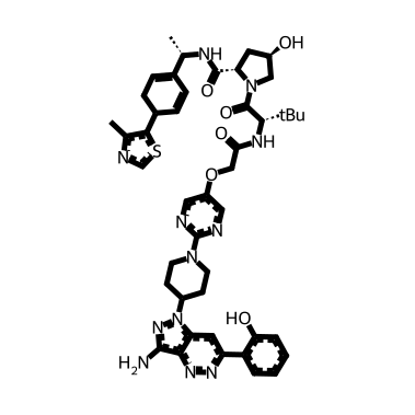 Cc1ncsc1C1C=CC([C@H](C)NC(=O)[C@@H]2C[C@@H](O)CN2C(=O)[C@@H](NC(=O)COc2cnc(N3CCC(n4nc(N)c5nnc(-c6ccccc6O)cc54)CC3)nc2)C(C)(C)C)=CC1